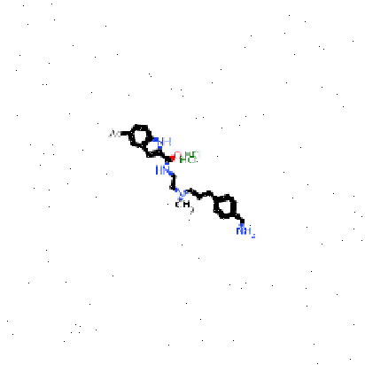 CC(=O)c1ccc2[nH]c(C(=O)NCCN(C)CCCc3ccc(CN)cc3)cc2c1.Cl.Cl